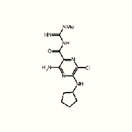 CNC(=N)NC(=O)c1nc(Cl)c(NC2CCCC2)nc1N